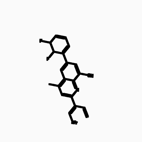 C=C/C(=C\CCC)c1cc(C)c2cc(C3=CC=CC(F)C3F)cc(O)c2n1